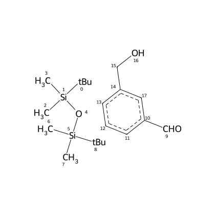 CC(C)(C)[Si](C)(C)O[Si](C)(C)C(C)(C)C.O=Cc1cccc(CO)c1